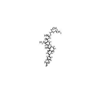 CCCC(CC)CCC(=N)CC(=O)c1ccc(NC2=CC=CC=C3CC(c4ccc(OC(F)F)cc4)=CN=C32)cc1C